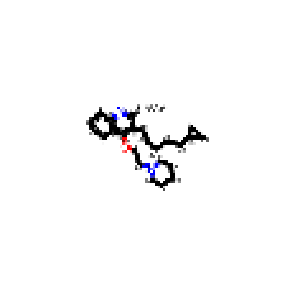 COc1nc2ccccc2c(OCCN2CCCCC2)c1CCCCCC1CC1